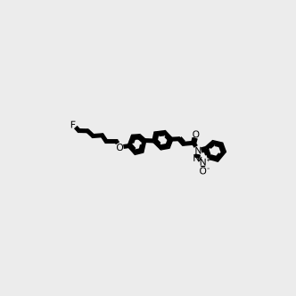 O=C(C=Cc1ccc(-c2ccc(OCCCCCCF)cc2)cc1)n1n[n+]([O-])c2ccccc21